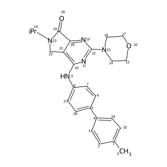 Cc1ccc(-c2ccc(Nc3nc(N4CCOCC4)nc4c3CN(C(C)C)C4=O)cc2)cc1